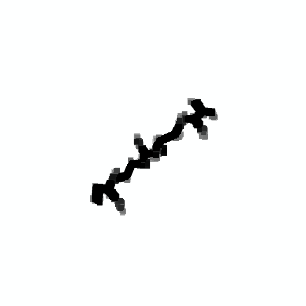 C=CC(=O)OCCNC(=O)NCCOC(=O)C(=C)C